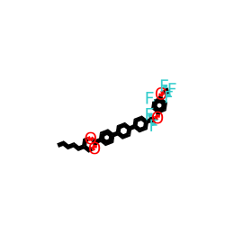 CCCCCC1COC(c2ccc(C3CCC(C4CCC(C(F)(F)Oc5ccc(OC(F)(F)F)c(F)c5)CC4)CC3)cc2)OC1